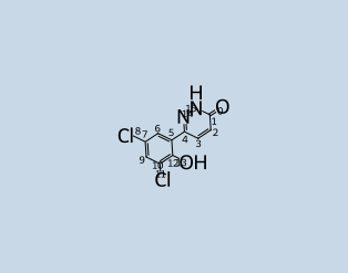 O=c1ccc(-c2cc(Cl)cc(Cl)c2O)n[nH]1